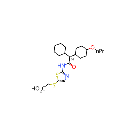 CCCOC1CCC([C@@H](C(=O)Nc2ncc(SCC(=O)O)s2)C2CCCCC2)CC1